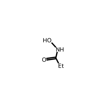 [CH2]CC(=O)NO